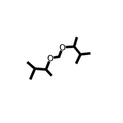 CC(C)C(C)OCOC(C)C(C)C